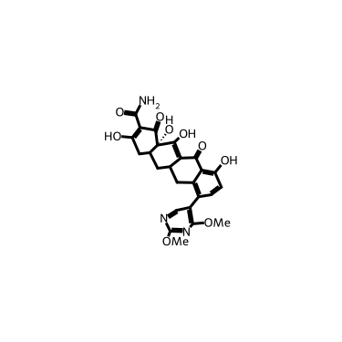 COc1ncc(-c2ccc(O)c3c2CC2CC4CC(O)=C(C(N)=O)C(=O)[C@@]4(O)C(O)=C2C3=O)c(OC)n1